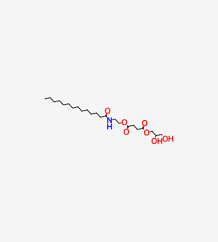 CCCCCCCCCCCCCC(=O)NCCOC(=O)CCC(=O)OCC(O)CO